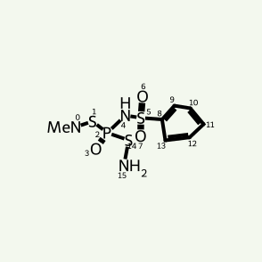 CNSP(=O)(NS(=O)(=O)c1ccccc1)SN